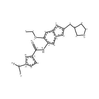 CCOc1cc2nc(CC3CCOC3)cn2cc1NC(=O)c1ccn(C(F)F)n1